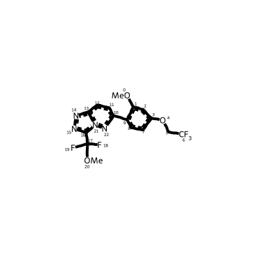 COc1cc(OCC(F)(F)F)ccc1-c1ccc2nnc(C(F)(F)OC)n2n1